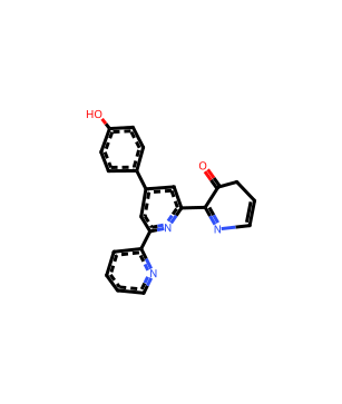 O=C1CC=CN=C1c1cc(-c2ccc(O)cc2)cc(-c2ccccn2)n1